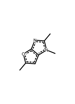 Cc1cc2c(nc(C)n2C)o1